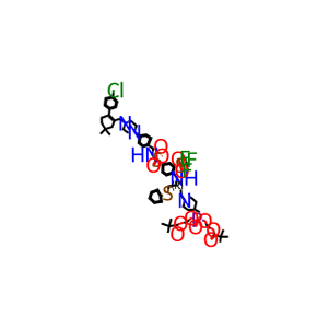 CC1(C)CCC(c2ccc(Cl)cc2)=C(CN2CCN(c3ccc(C(=O)NS(=O)(=O)c4ccc(N[C@H](CCN5CCC(CP(=O)(OCOC(=O)C(C)(C)C)OCOC(=O)C(C)(C)C)CC5)CSc5ccccc5)c(S(=O)(=O)C(F)(F)F)c4)cc3)CC2)C1